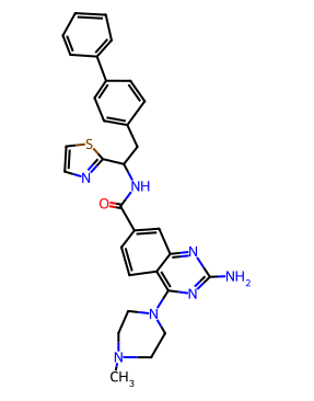 CN1CCN(c2nc(N)nc3cc(C(=O)NC(Cc4ccc(-c5ccccc5)cc4)c4nccs4)ccc23)CC1